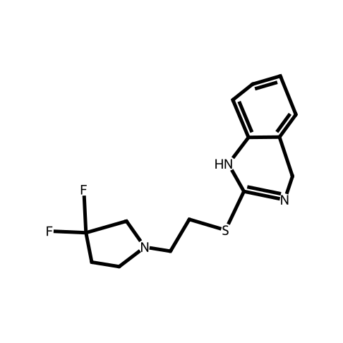 FC1(F)CCN(CCSC2=NCc3ccccc3N2)C1